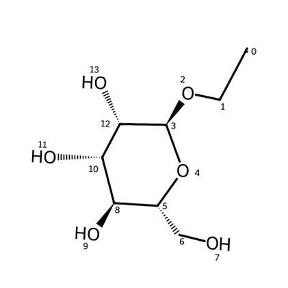 [CH2]CO[C@H]1O[C@H](CO)[C@@H](O)[C@H](O)[C@@H]1O